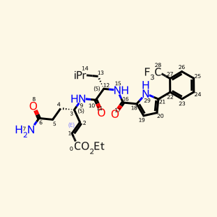 CCOC(=O)/C=C/[C@H](CCC(N)=O)NC(=O)[C@H](CC(C)C)NC(=O)c1ccc(-c2ccccc2C(F)(F)F)[nH]1